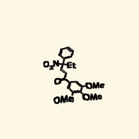 CCC(CCC(=O)c1cc(OC)c(OC)c(OC)c1)(c1ccccc1)[N+](=O)[O-]